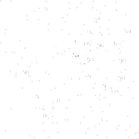 CCC(C)[C@H]1NC(=O)CNC(=O)[C@H]2Cc3c([nH]c4cc(O)ccc34)[S+]([O-])C[C@@H](NC(=O)CNC1=O)C(=O)N[C@@H](CC(N)=O)C(=O)N1C[C@H](O)C[C@H]1C(=O)N[C@@H]([C@H](C)[C@@H](O)COC(=O)OCCSSC[C@H](NC(=O)[C@@H](C)CCC(=O)NC[C@H](O)[C@@H](O)[C@H](O)[C@H](O)CO)C(=O)O)C(=O)N2